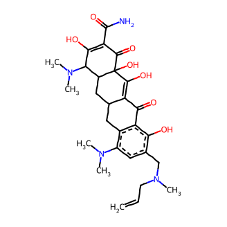 C=CCN(C)Cc1cc(N(C)C)c2c(c1O)C(=O)C1=C(O)C3(O)C(=O)C(C(N)=O)=C(O)C(N(C)C)C3CC1C2